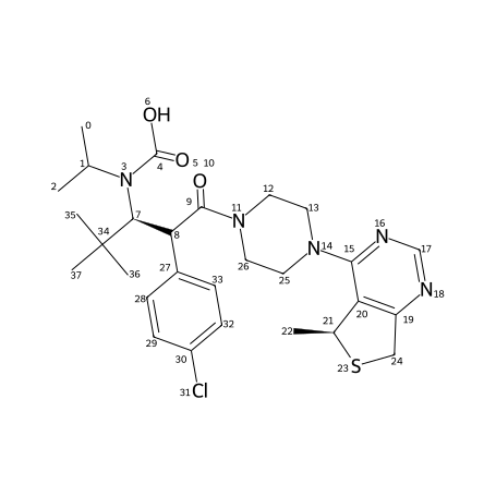 CC(C)N(C(=O)O)[C@@H](C(C(=O)N1CCN(c2ncnc3c2[C@H](C)SC3)CC1)c1ccc(Cl)cc1)C(C)(C)C